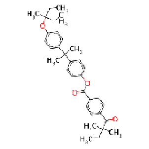 CCC(C)(CC)Oc1ccc(C(C)(C)c2ccc(OC(=O)c3ccc(C(=O)C(C)(C)CC)cc3)cc2)cc1